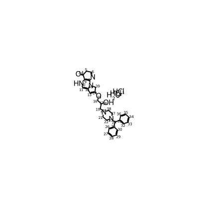 Cl.Cl.O.O=C1CC=NC2=C1NC=C1C=C(OCC(O)CN3CCN(C(c4ccccc4)c4ccccc4)CC3)CN12